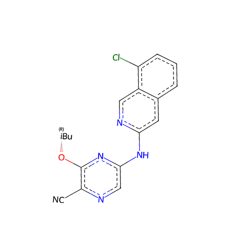 CC[C@@H](C)Oc1nc(Nc2cc3cccc(Cl)c3cn2)cnc1C#N